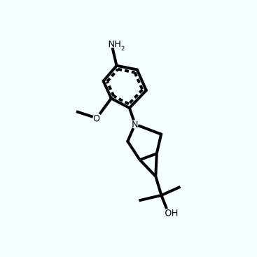 COc1cc(N)ccc1N1CC2C(C1)C2C(C)(C)O